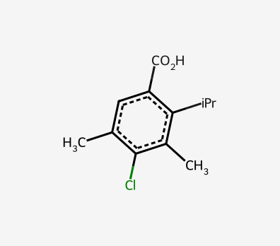 Cc1cc(C(=O)O)c(C(C)C)c(C)c1Cl